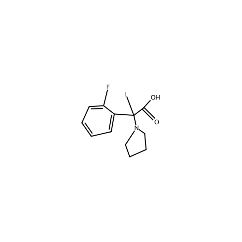 O=C(O)C(I)(c1ccccc1F)N1CCCC1